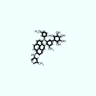 Cc1cccc(Nc2ccc3ccc4c(N(c5cccc(C)c5)c5cc(C)cc(-c6c(O)c(O)c(O)c(O)c6O)c5)ccc5ccc2c3c54)c1